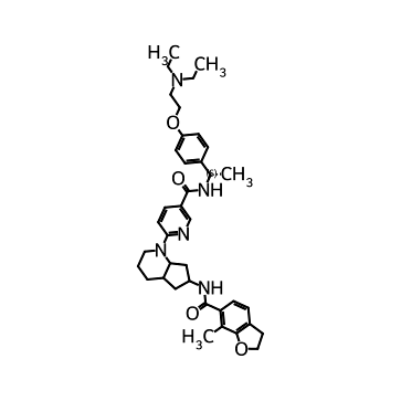 CCN(CC)CCOc1ccc([C@H](C)NC(=O)c2ccc(N3CCCC4CC(NC(=O)c5ccc6c(c5C)OCC6)CC43)nc2)cc1